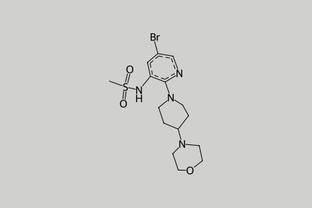 CS(=O)(=O)Nc1cc(Br)cnc1N1CCC(N2CCOCC2)CC1